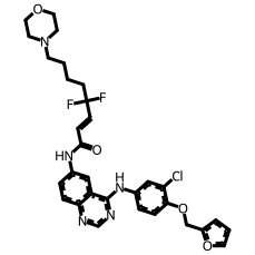 O=C(C=CC(F)(F)CCCCN1CCOCC1)Nc1ccc2ncnc(Nc3ccc(OCc4ccco4)c(Cl)c3)c2c1